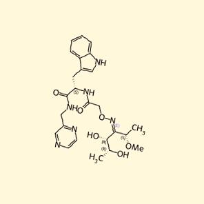 CO[C@@H](C)/C(=N/OCC(=O)N[C@@H](Cc1c[nH]c2ccccc12)C(=O)NCc1cnccn1)[C@@H](O)[C@@H](C)O